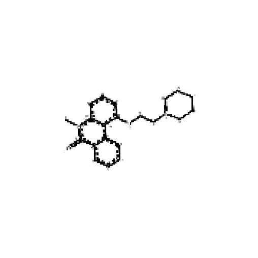 Cn1c(=O)c2ccccc2c2c(OCCN3CCCCC3)cccc21